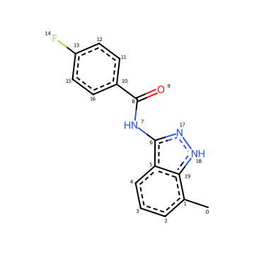 Cc1cccc2c(NC(=O)c3ccc(F)cc3)n[nH]c12